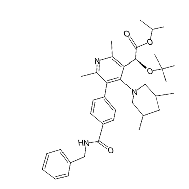 Cc1nc(C)c([C@H](OC(C)(C)C)C(=O)OC(C)C)c(N2CC(C)CC(C)C2)c1-c1ccc(C(=O)NCc2ccccc2)cc1